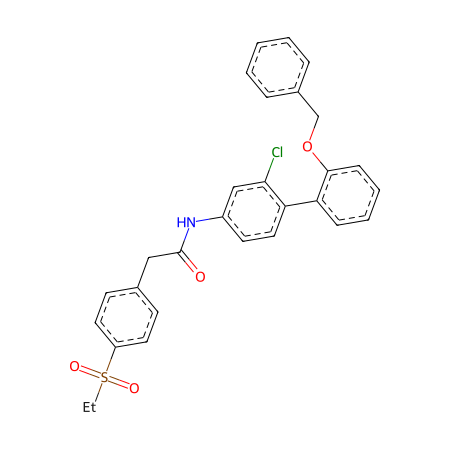 CCS(=O)(=O)c1ccc(CC(=O)Nc2ccc(-c3ccccc3OCc3ccccc3)c(Cl)c2)cc1